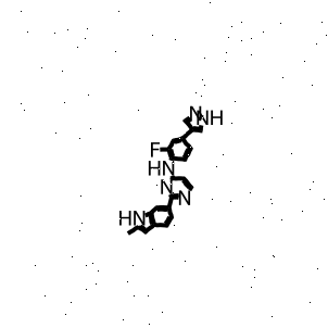 Cc1cc2ccc(-c3nccc(Nc4ccc(-c5cn[nH]c5)cc4F)n3)cc2[nH]1